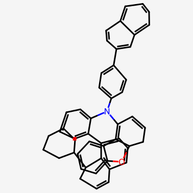 C1=CC(N(c2ccc(-c3ccc4ccccc4c3)cc2)c2ccccc2-c2cccc3c2C(C2CCCCC2)CC=C3)=C2c3ccccc3OC2C1